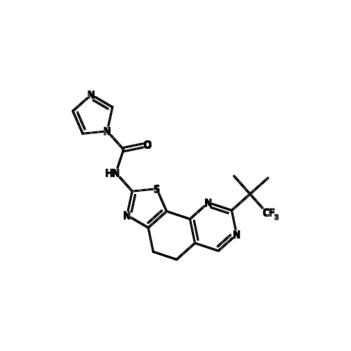 CC(C)(c1ncc2c(n1)-c1sc(NC(=O)n3ccnc3)nc1CC2)C(F)(F)F